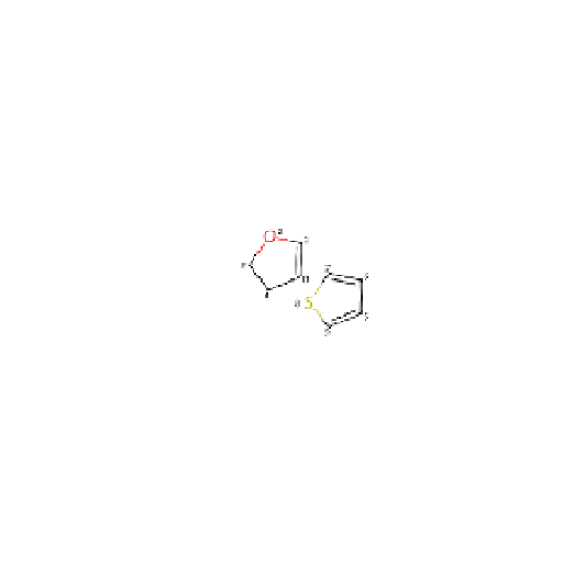 C1=COCC1.c1ccsc1